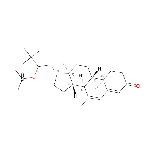 CC1=CC2=CC(=O)CC[C@]2(C)[C@H]2CC[C@]3(C)[C@@H](CC(O[SiH](C)C)C(C)(C)C)CC[C@H]3[C@H]12